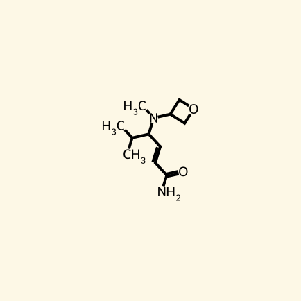 CC(C)C(C=CC(N)=O)N(C)C1COC1